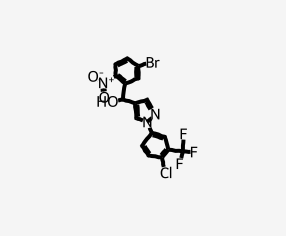 O=[N+]([O-])c1ccc(Br)cc1C(O)c1cnn(-c2ccc(Cl)c(C(F)(F)F)c2)c1